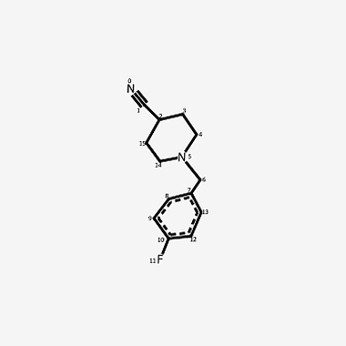 N#CC1CCN(Cc2ccc(F)cc2)CC1